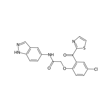 O=C(COc1ccc(Cl)cc1C(=O)c1nccs1)Nc1ccc2[nH]ncc2c1